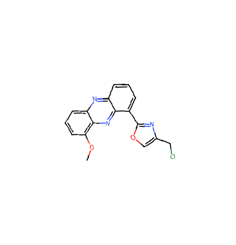 COc1cccc2nc3cccc(-c4nc(CCl)co4)c3nc12